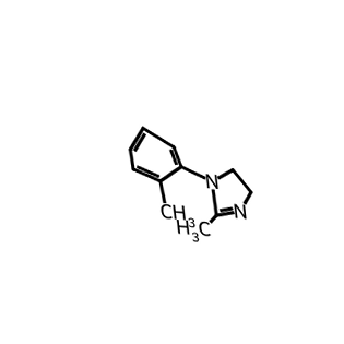 CC1=NCCN1c1ccccc1C